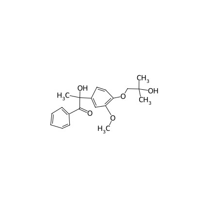 COc1cc(C(C)(O)C(=O)c2ccccc2)ccc1OCC(C)(C)O